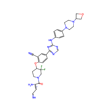 N#Cc1cc(-c2ncnc(Nc3ccc(N4CCN(C5COC5)CC4)cc3)n2)ccc1OC1CCN(C(=O)/C(N)=C/C=N)CC1(F)F